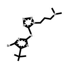 CN(C)CCCn1nnnc1Sc1nc(C(C)(C)C)c(Br)s1